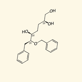 OC[C@@H](O)CC[C@H](O)[C@H](Cc1ccccc1)OCc1ccccc1